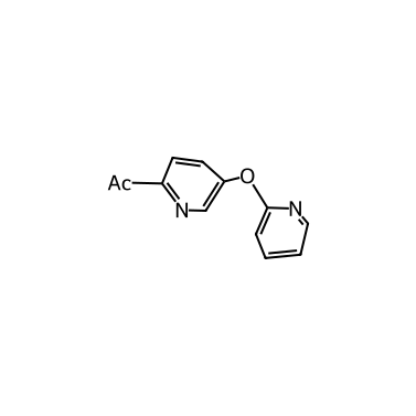 CC(=O)c1ccc(Oc2ccccn2)cn1